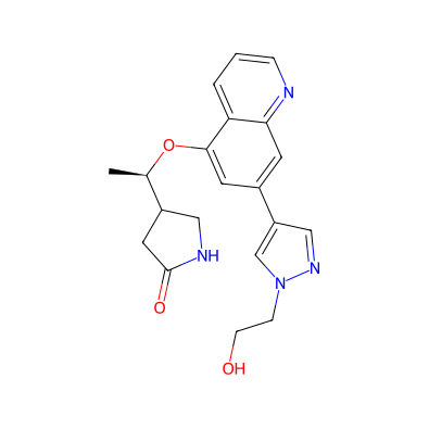 C[C@@H](Oc1cc(-c2cnn(CCO)c2)cc2ncccc12)C1CNC(=O)C1